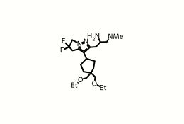 CCOCC1(COCC)CCC(c2c(CC(N)CNC)nn3c2CC(F)(F)C3)CC1